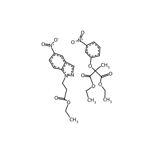 CCOC(=O)C(C)(Oc1cccc([N+](=O)[O-])c1)C(=O)OCC.CCOC(=O)CCn1ncc2cc([N+](=O)[O-])ccc21